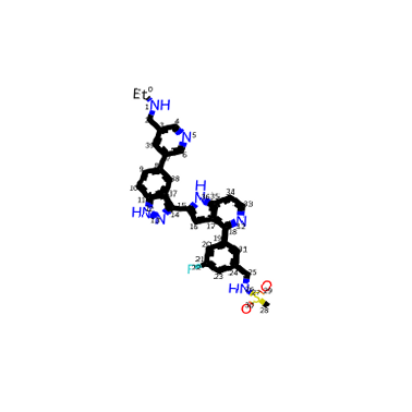 CCNCc1cncc(-c2ccc3[nH]nc(-c4cc5c(-c6cc(F)cc(CNS(C)(=O)=O)c6)nccc5[nH]4)c3c2)c1